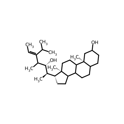 C/C=C(\C(C)C)C(C)[C@H](O)[C@H](C)[C@H]1CCC2C3CCC4CCC(O)C[C@]4(C)C3CC[C@@]21C